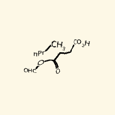 CCCC.O=COC(=O)CCC(=O)O